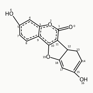 O=c1oc2cc(O)ccc2c2c1C1CC=C(O)C=C1O2